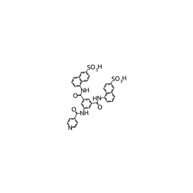 O=C(Nc1cc(C(=O)Nc2cccc3cc(S(=O)(=O)O)ccc23)cc(C(=O)Nc2cccc3cc(S(=O)(=O)O)ccc23)c1)c1ccncc1